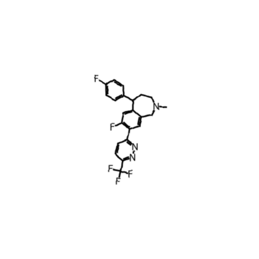 CN1CCC(c2ccc(F)cc2)c2cc(F)c(-c3ccc(C(F)(F)F)nn3)cc2C1